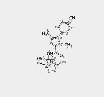 Cc1cc(C(=O)CN2[C@H]3CC[C@@H]2[C@@](O)(C(C)(C)C)C3)c(C)n1-c1ccc(C#N)cc1